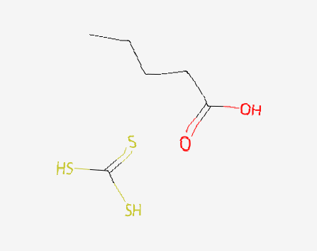 CCCCC(=O)O.S=C(S)S